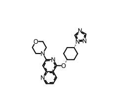 c1cnc2cc(N3CCOCC3)nc(O[C@H]3CC[C@@H](n4cncn4)CC3)c2c1